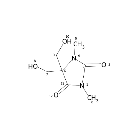 CN1C(=O)N(C)C(CO)(CO)C1=O